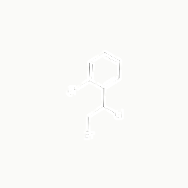 Clc1ccccc1C(Cl)CBr